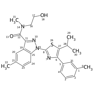 Cc1cccc(-c2nc(-n3nc(C(=O)N(C)CCO)c4cc(C)ccc43)sc2C(C)C)c1